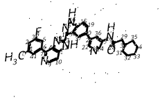 Cc1cc(F)cc(-c2nccc3[nH]c(-c4n[nH]c5ccc(-c6cncc(NC(=O)CC7CCCCC7)c6)cc45)nc23)c1